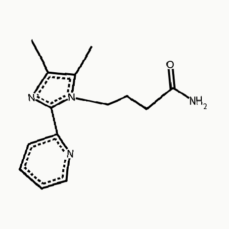 Cc1nc(-c2ccccn2)n(CCCC(N)=O)c1C